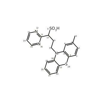 Cc1ccc2c(c1)N(CCC(c1ncccn1)S(=O)(=O)O)c1ccccc1S2